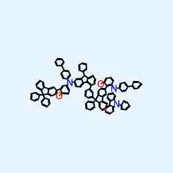 c1ccc(-c2ccc(N(c3ccc4c(c3)C(c3ccccc3)c3cccc(-c5cccc(C6(c7ccccc7)c7ccccc7-c7cc8c(cc76)oc6cccc(N(c7ccc(-c9ccccc9)cc7)c7ccc9c%10ccccc%10n(-c%10ccccc%10)c9c7)c68)c5)c3-4)c3ccc4oc5cc6c(cc5c4c3)-c3ccccc3C6(c3ccccc3)c3ccccc3)cc2)cc1